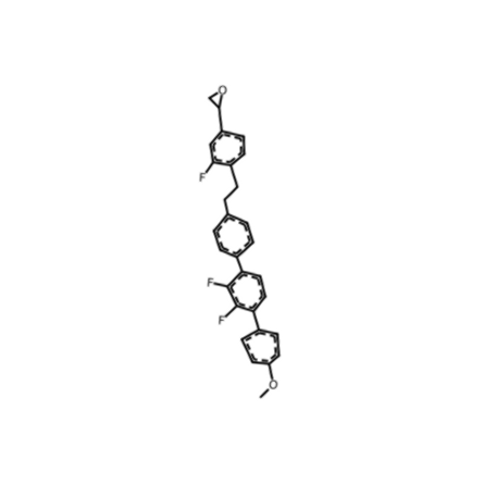 COc1ccc(-c2ccc(-c3ccc(CCc4ccc(C5CO5)cc4F)cc3)c(F)c2F)cc1